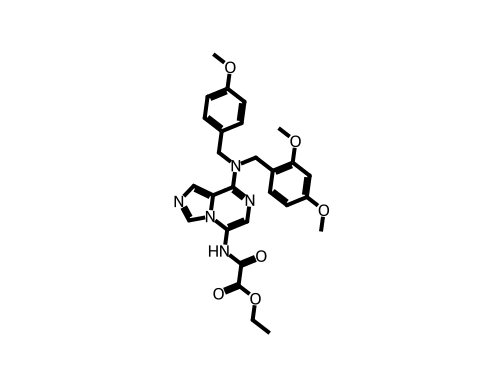 CCOC(=O)C(=O)Nc1cnc(N(Cc2ccc(OC)cc2)Cc2ccc(OC)cc2OC)c2cncn12